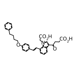 O=C(O)CCC(=O)c1cn(CC(=O)O)c2c(C=Cc3ccc(OCCCCc4ccccc4)cc3)cccc12